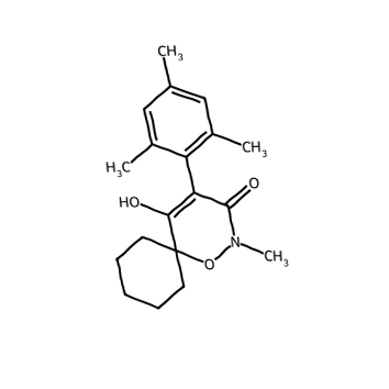 Cc1cc(C)c(C2=C(O)C3(CCCCC3)ON(C)C2=O)c(C)c1